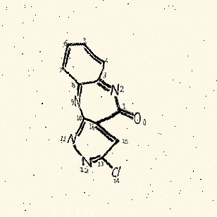 O=c1nc2ccccc2nc2nnc(Cl)cc12